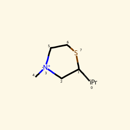 CC(C)C1C[N+](C)CCS1